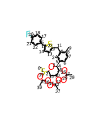 CS[C@H]1O[C@@H](c2ccc(C)c(Cc3ccc(-c4ccc(F)cc4)s3)c2)[C@H](OC(C)=O)C(OC(C)=O)[C@@H]1OC(C)=O